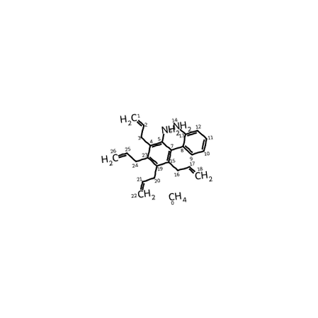 C.C=CCc1c(N)c(-c2ccccc2N)c(CC=C)c(CC=C)c1CC=C